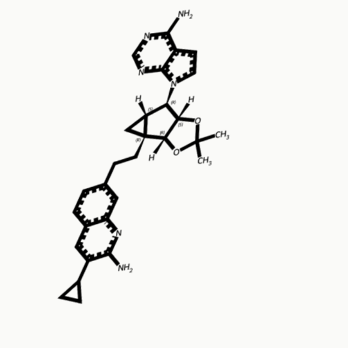 CC1(C)O[C@H]2[C@H](n3ccc4c(N)ncnc43)[C@H]3C[C@@]3(CCc3ccc4cc(C5CC5)c(N)nc4c3)[C@H]2O1